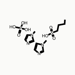 CCCCS(=O)(=O)O.Cn1ccnc1.Cn1ccnc1.O=P(O)(O)O